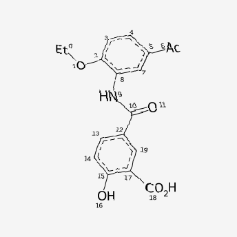 CCOc1ccc(C(C)=O)cc1NC(=O)c1ccc(O)c(C(=O)O)c1